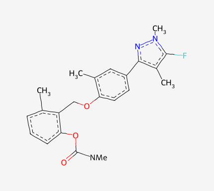 CNC(=O)Oc1cccc(C)c1COc1ccc(-c2nn(C)c(F)c2C)cc1C